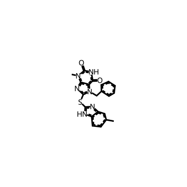 Cc1ccc2[nH]c(Sc3nc4c(c(=O)[nH]c(=O)n4C)n3Cc3ccccc3)nc2c1